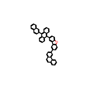 c1ccc2cc(-c3c4ccccc4c(-c4ccc5oc6ccc(-c7ccc8ccc9ccccc9c8c7)cc6c5c4)c4ccccc34)ccc2c1